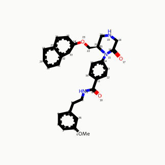 COc1cccc(CCNC(=O)c2ccc(N3C(=O)CNC[C@@H]3COc3ccc4ccccc4c3)cc2)c1